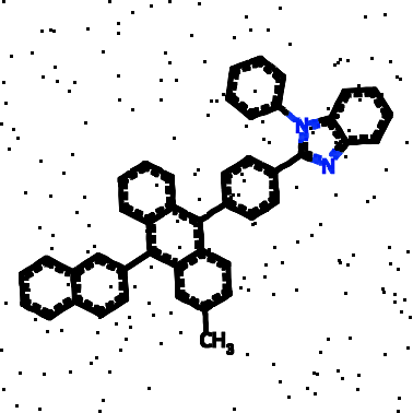 Cc1ccc2c(-c3ccc(-c4nc5ccccc5n4-c4ccccc4)cc3)c3ccccc3c(-c3ccc4ccccc4c3)c2c1